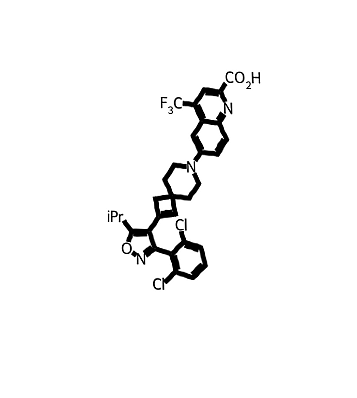 CC(C)c1onc(-c2c(Cl)cccc2Cl)c1C1=CC2(CCN(c3ccc4nc(C(=O)O)cc(C(F)(F)F)c4c3)CC2)C1